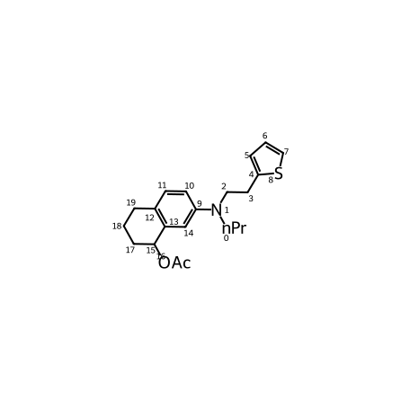 CCCN(CCc1cccs1)c1ccc2c(c1)C(OC(C)=O)CCC2